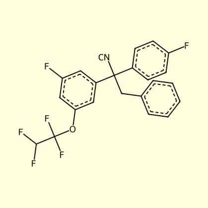 [C-]#[N+]C(Cc1ccccc1)(c1ccc(F)cc1)c1cc(F)cc(OC(F)(F)C(F)F)c1